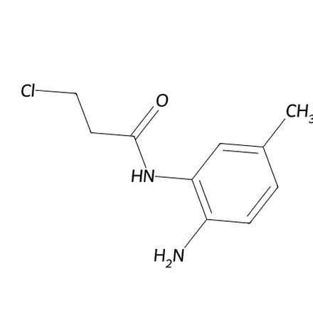 Cc1ccc(N)c(NC(=O)CCCl)c1